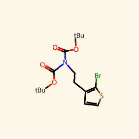 CC(C)(C)OC(=O)N(CCc1ccsc1Br)C(=O)OC(C)(C)C